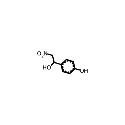 O=[N+]([O-])CC(O)c1ccc(O)cc1